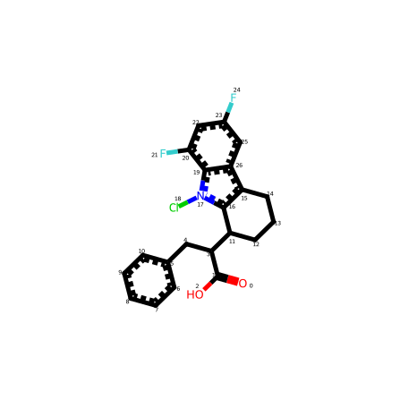 O=C(O)C(Cc1ccccc1)C1CCCc2c1n(Cl)c1c(F)cc(F)cc21